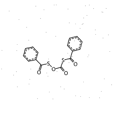 O=C(OSC(=O)c1ccccc1)SC(=O)c1ccccc1